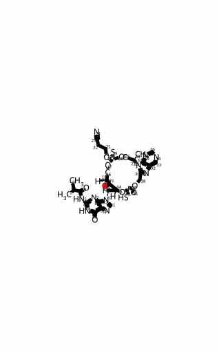 CC(C)C(=O)Nc1nc2c(ncn2[C@@H]2O[C@@H]3COP(=S)(OCCC#N)OC[C@H](C)n4c(nc5cncnc54)COP(=O)(S)O[C@@H]2[C@@H]3F)c(=O)[nH]1